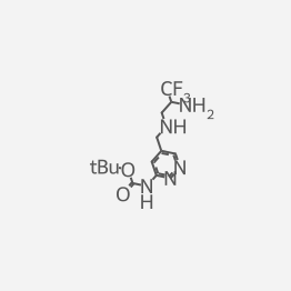 CC(C)(C)OC(=O)Nc1cc(CNCC(N)C(F)(F)F)cnn1